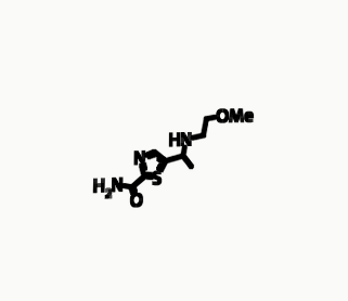 COCCNC(C)c1cnc(C(N)=O)s1